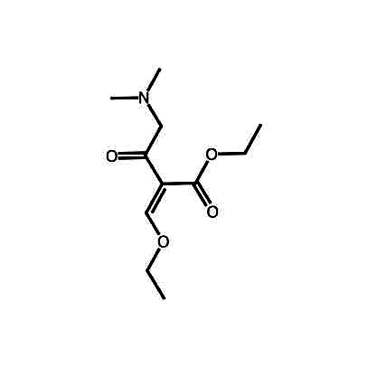 CCOC=C(C(=O)CN(C)C)C(=O)OCC